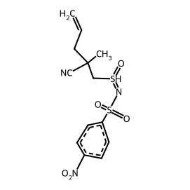 C=CCC(C)(C#N)C/[SH](=O)=N\S(=O)(=O)c1ccc([N+](=O)[O-])cc1